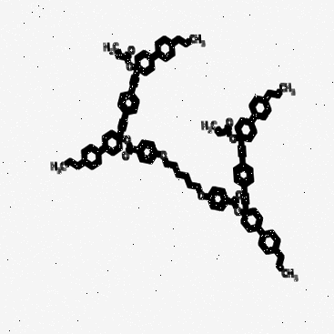 C=CC(=O)OC1(C#Cc2ccc(C#CC3(OC(=O)c4ccc(OCCCCCCOc5ccc(C(=O)OC6(C#Cc7ccc(C#CC8(OC(=O)C=C)CCC(C9CCC(CCC)CC9)CC8)cc7)CCC(C7CCC(CCC)CC7)CC6)cc5)cc4)CCC(C4CCC(CCC)CC4)CC3)cc2)CCC(C2CCC(CCC)CC2)CC1